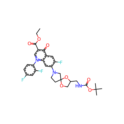 CCOC(=O)c1cn(-c2ccc(F)cc2F)c2cc(N3CCC4(C3)OCC(CNC(=O)OC(C)(C)C)O4)c(F)cc2c1=O